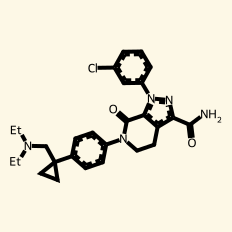 CCN(CC)CC1(c2ccc(N3CCc4c(C(N)=O)nn(-c5cccc(Cl)c5)c4C3=O)cc2)CC1